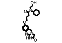 O=C1CN2Cc3cc(OCCCC(=O)N(CCO)C4CCCCC4)ccc3N=C2N1